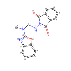 CCN(CNN1C(=O)c2ccccc2C1=O)c1nc2ccccc2o1